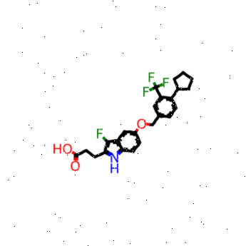 O=C(O)CCc1[nH]c2ccc(OCc3ccc(C4CCCC4)c(C(F)(F)F)c3)cc2c1F